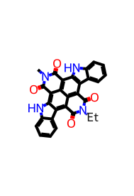 CCN1C(=O)c2c3c(c4c([nH]c5ccccc54)c4c3c(c3[nH]c5ccccc5c23)C(=O)N(C)C4=O)C1=O